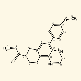 C=CC(=O)N1CCc2c(cc(-c3ccc(OC(F)(F)F)cc3)c3c2N=CCN3)C1